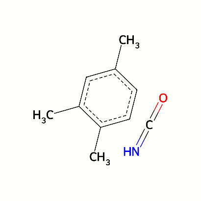 Cc1ccc(C)c(C)c1.N=C=O